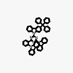 c1ccc(C(c2ccccc2)(c2ccccc2)c2ccc3c(c2)c2ccccc2n3-c2nc(-c3ccccc3-n3c4ccccc4c4ccccc43)nc(-n3c4ccccc4c4ccccc43)n2)cc1